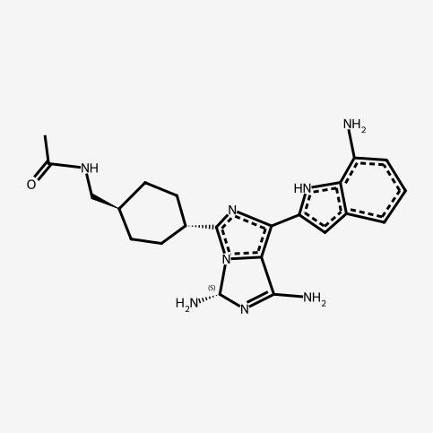 CC(=O)NC[C@H]1CC[C@H](c2nc(-c3cc4cccc(N)c4[nH]3)c3n2[C@@H](N)N=C3N)CC1